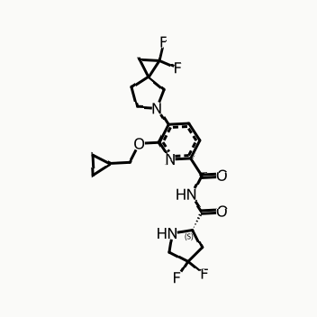 O=C(NC(=O)[C@@H]1CC(F)(F)CN1)c1ccc(N2CCC3(C2)CC3(F)F)c(OCC2CC2)n1